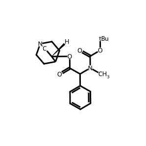 CN(C(=O)OC(C)(C)C)C(C(=O)O[C@H]1CN2CCC1CC2)c1ccccc1